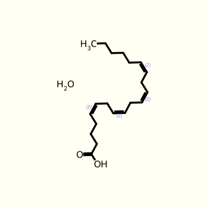 CCCCC/C=C\C/C=C\C/C=C\C/C=C\CCCC(=O)O.O